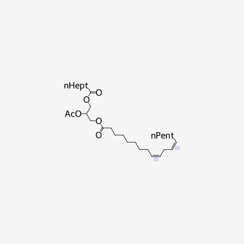 CCCCC/C=C\C/C=C\CCCCCCCC(=O)OCC(COC(=O)CCCCCCC)OC(C)=O